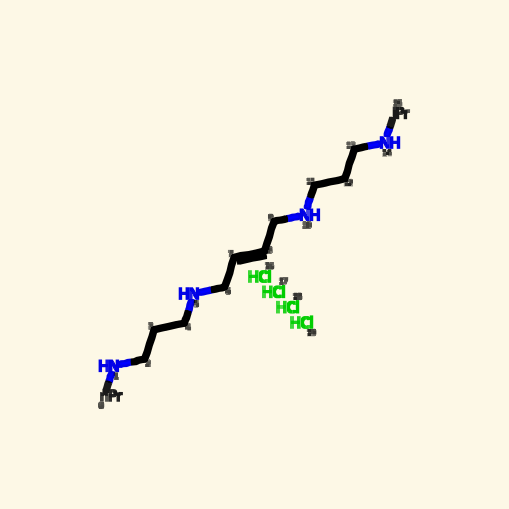 CCCNCCCNCC=CCNCCCNC(C)C.Cl.Cl.Cl.Cl